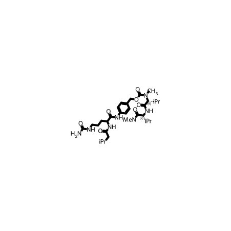 CNC(=O)[C@H](NC(=O)[C@@H](C(C)C)N(C)C(=O)OCc1ccc(NC(=O)C(CCCNC(N)=O)NC(=O)CC(C)C)cc1)C(C)C